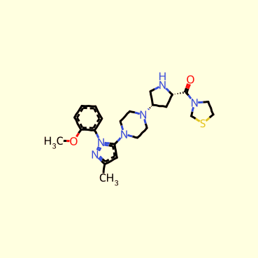 COc1ccccc1-n1nc(C)cc1N1CCN([C@@H]2CN[C@H](C(=O)N3CCSC3)C2)CC1